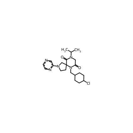 CC(C)N1CC(=O)N(CC2CCC(Cl)CC2)C2(CCN(c3cnccn3)C2)C1=O